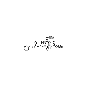 COC(=O)CNC(=O)[C@H](CCCC(=O)OCc1ccccc1)NC(=O)OC(C)(C)C